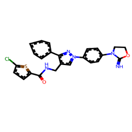 N=C1OCCN1c1ccc(-n2cc(CNC(=O)c3ccc(Cl)s3)c(-c3ccccc3)n2)cc1